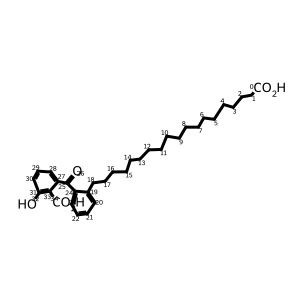 O=C(O)CCCCCCCCCCCCCCCCCCc1ccccc1C(=O)c1cccc(O)c1C(=O)O